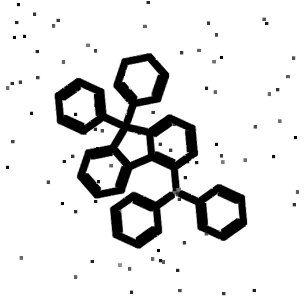 C1=CC(C2(c3ccccc3)c3ccccc3-c3c(N(c4ccccc4)c4ccccc4)cccc32)=CCC1